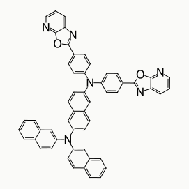 c1ccc2cc(N(c3ccc4ccccc4c3)c3ccc4cc(N(c5ccc(-c6nc7cccnc7o6)cc5)c5ccc(-c6nc7cccnc7o6)cc5)ccc4c3)ccc2c1